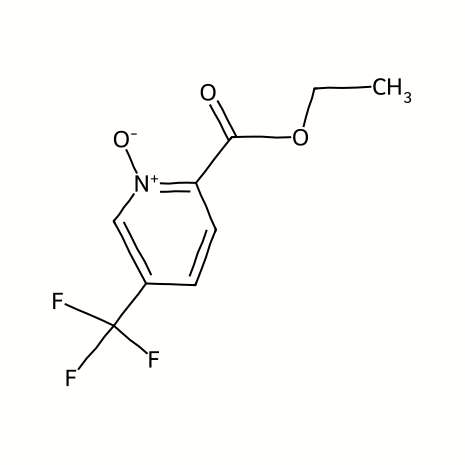 CCOC(=O)c1ccc(C(F)(F)F)c[n+]1[O-]